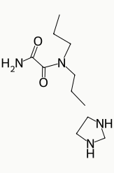 C1CNCN1.CCCN(CCC)C(=O)C(N)=O